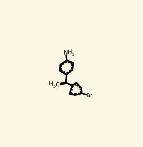 C=C(c1ccc(N)cc1)c1ccc(Br)cc1